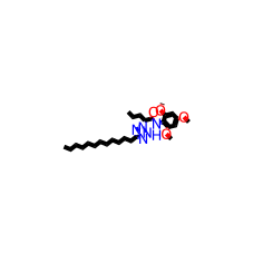 CCCCCCCCCCCCc1nnn(C(CCC)C(=O)Nc2c(OC)cc(OC)cc2OC)n1